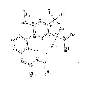 CCN(Cc1ccccc1-c1cc(C(F)(F)C(=O)O)c(C(F)(F)F)cc1OC)C(C)=O